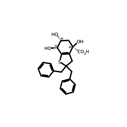 O=C(O)[C@@]1(O)C[C@@H](O)[C@H](O)C2=C1CC(Cc1ccccc1)(Cc1ccccc1)S2